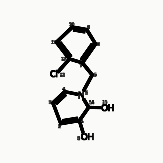 OC1=CC=CN(Cc2ccccc2Cl)C1O